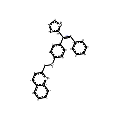 C(=C(/c1ccc(OCc2ccc3ccccc3n2)cc1)c1nnco1)/c1ccccc1